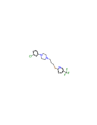 FC(F)(F)c1ccc(SCCCN2CCN(c3cccc(Cl)c3)CC2)nc1